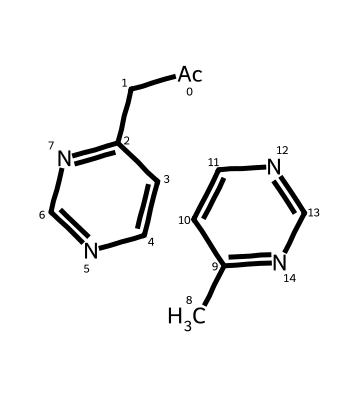 CC(=O)Cc1ccncn1.Cc1ccncn1